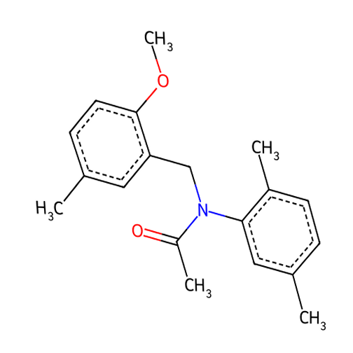 COc1ccc(C)cc1CN(C(C)=O)c1cc(C)ccc1C